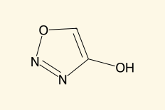 Oc1conn1